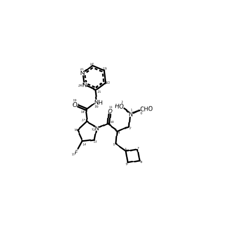 O=CN(O)CC(CC1CCC1)C(=O)N1CC(F)CC1C(=O)Nc1cccnn1